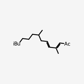 CCC(C)CCCC(C)CC=CC(C)=CC(C)=O